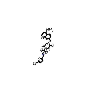 C[C@H]1CN(Cc2ccc3c(N)ccnc3c2)C(=O)[C@H](C)N1S(=O)(=O)/C=C/c1ccc(Cl)s1